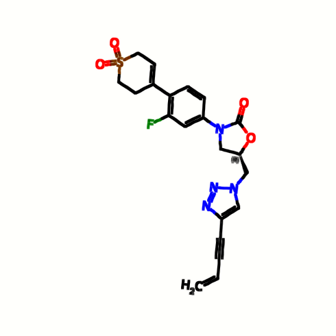 C=CC#Cc1cn(C[C@H]2CN(c3ccc(C4=CCS(=O)(=O)CC4)c(F)c3)C(=O)O2)nn1